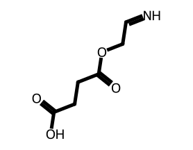 N=CCOC(=O)CCC(=O)O